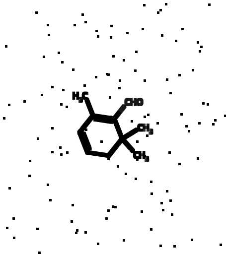 CC1=C(C=O)C(C)(C)CC=C1